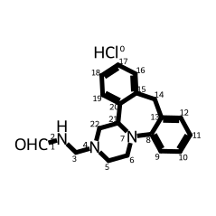 Cl.O=CNCN1CCN2c3ccccc3Cc3ccccc3C2C1